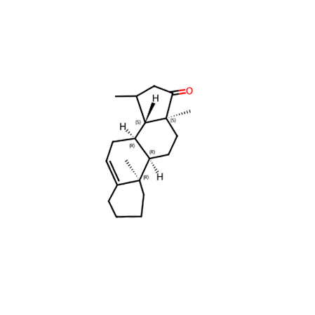 CC1CC(=O)[C@@]2(C)CC[C@@H]3[C@@H](CC=C4CCCC[C@@]43C)[C@H]12